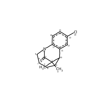 CC1(C)C(=S)N2CCCCC1c1cc(Cl)ccc12